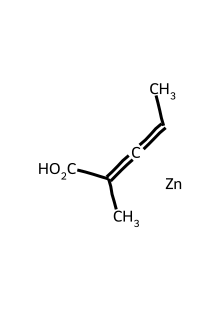 CC=C=C(C)C(=O)O.[Zn]